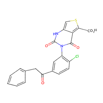 O=C(Cc1ccccc1)c1ccc(Cl)c(-n2c(=O)[nH]c3csc(C(=O)O)c3c2=O)c1